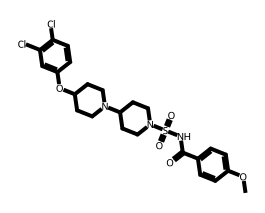 COc1ccc(C(=O)NS(=O)(=O)N2CCC(N3CCC(Oc4ccc(Cl)c(Cl)c4)CC3)CC2)cc1